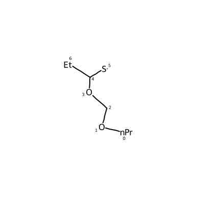 CCCOCOC([S])CC